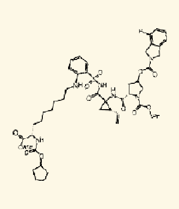 C=C[C@@H]1C[C@]1(NC(=O)[C@@H]1C[C@@H](OC(=O)N2Cc3cccc(F)c3C2)CN1C(=O)OC(C)C)C(=O)NS(=O)(=O)c1ccccc1NCCCCCCC[C@H](NC(=O)OC1CCCC1)C(=O)OC